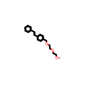 OCCOCCOCc1ccc(C=Cc2ccccc2)cc1